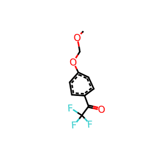 COCOc1ccc(C(=O)C(F)(F)F)cc1